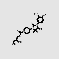 CC1(C)C(=O)N(c2ccc(C#N)c(C(F)(F)F)c2)C(=S)N1C1CCN(C(=O)OCC(O)CO)CC1